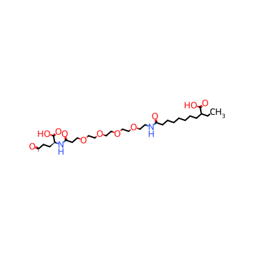 CCC(CCCCCCCC(=O)NCCOCCOCCOCCOCCC(=O)N[C@@H](CC[C]=O)C(=O)O)C(=O)O